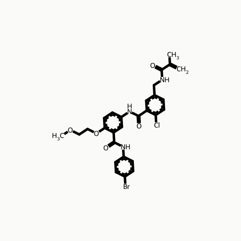 C=C(C)C(=O)NCc1ccc(Cl)c(C(=O)Nc2ccc(OCCOC)c(C(=O)Nc3ccc(Br)cc3)c2)c1